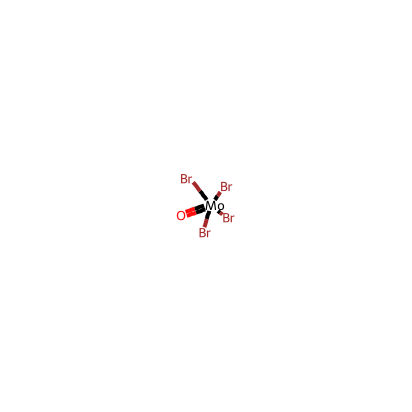 [O]=[Mo]([Br])([Br])([Br])[Br]